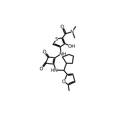 Cc1ccc(C(Nc2c(Nc3csc(C(=O)N(C)C)c3O)c(=O)c2=O)C2CCCC2)o1